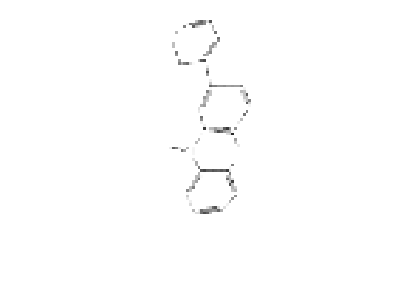 CN1c2ccccc2Sc2ccc(C3=CC=CPC3)cc21